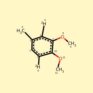 [2H]c1cc(C)c([2H])c(OC)c1OC